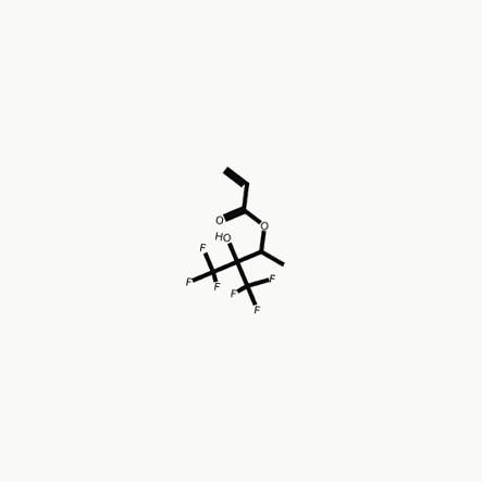 C=CC(=O)OC(C)C(O)(C(F)(F)F)C(F)(F)F